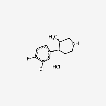 C[C@H]1CNCC[C@H]1c1ccc(F)c(Cl)c1.Cl